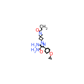 C=CC(=O)N1CC2(CC(n3nc(-c4ccc(OC5CC5)cc4)c(C(N)=O)c3N)C2)C1